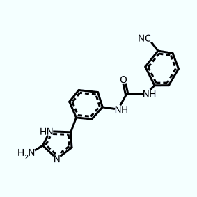 N#Cc1cccc(NC(=O)Nc2cccc(-c3cnc(N)[nH]3)c2)c1